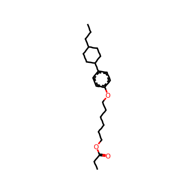 CCCC1CCC(c2ccc(OCCCCCCOC(=O)CC)cc2)CC1